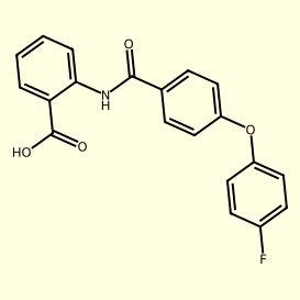 O=C(Nc1ccccc1C(=O)O)c1ccc(Oc2ccc(F)cc2)cc1